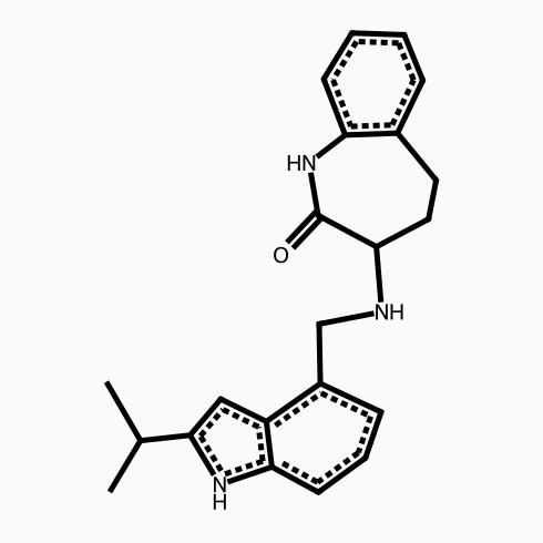 CC(C)c1cc2c(CNC3CCc4ccccc4NC3=O)cccc2[nH]1